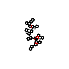 c1cc(-c2ccc(-c3ccc4ccccc4c3)cc2)cc(N(c2ccccc2-c2cccc3c2oc2ccc(-c4cc(-c5ccc6c(c5)sc5cccc(N(c7cccc(-c8ccccc8-c8ccc9ccccc9c8)c7)c7ccccc7-c7cccc8c7oc7ccccc78)c56)c5ccccc5c4)cc23)c2cccc3sc4ccccc4c23)c1